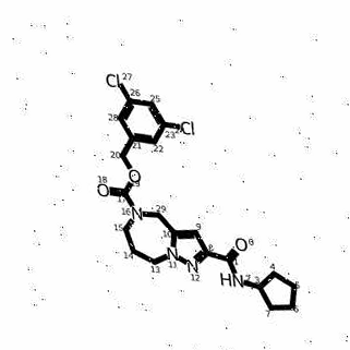 O=C(NC1CCCC1)c1cc2n(n1)CCCN(C(=O)OCc1cc(Cl)cc(Cl)c1)C2